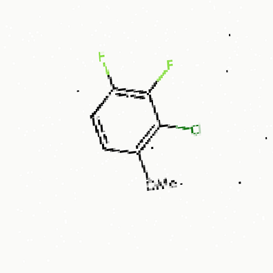 COc1ccc(F)c(F)c1Cl